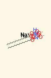 CCCCCCCCCCCCCCCCCCOC(=O)CNCC(=O)[O-].CCCCCCCCCCCCCCCCCCOC(=O)CNCC(=O)[O-].[Na+].[Na+]